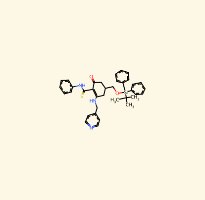 CC(C)(C)[Si](OCC1CC(=O)C(C(=S)Nc2ccccc2)=C(NCc2ccncc2)C1)(c1ccccc1)c1ccccc1